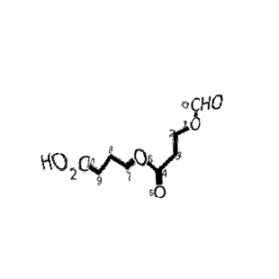 O=COCCC(=O)OCCCC(=O)O